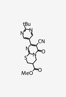 COC(=O)C1CSc2nc(-c3cnc(C(C)(C)C)nc3)c(C#N)c(=O)n2C1